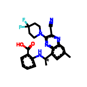 Cc1cc([C@@H](C)Nc2ccccc2C(=O)O)c2nc(N3CCC(F)(F)CC3)c(C#N)nc2c1